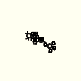 COc1cc(OCc2cc(C3CCCN3C(=O)C(F)(F)C3(O)CC(C)(C)CC(C)(C)C3)no2)cc(OC)c1OC